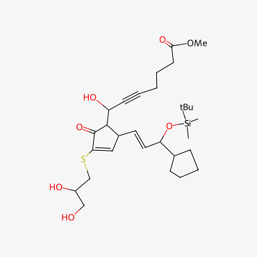 COC(=O)CCCC#CC(O)C1C(=O)C(SCC(O)CO)=CC1C=CC(O[Si](C)(C)C(C)(C)C)C1CCCC1